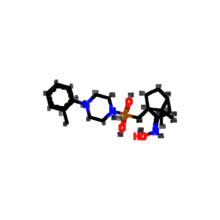 Cc1ccccc1N1CCN(S(=O)(=O)CC23CCC(CC2=NO)C3(C)C)CC1